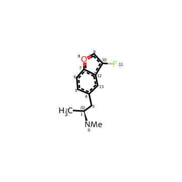 CN[C@@H](C)Cc1ccc2occ(F)c2c1